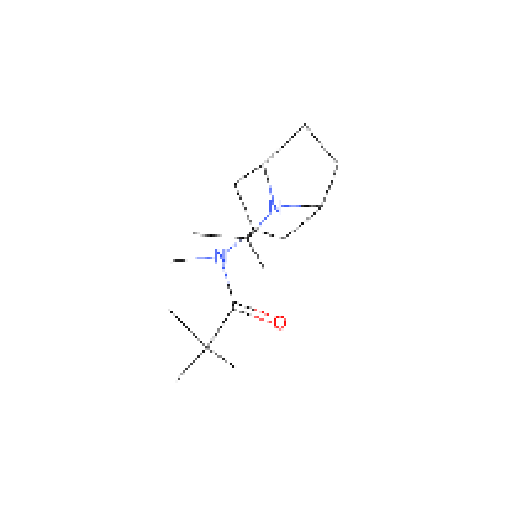 CC(C)N1C2CCC1CC(N(C)C(=O)C(C)(C)C)C2